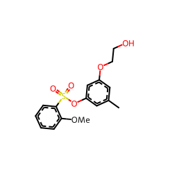 COc1ccccc1S(=O)(=O)Oc1cc(C)cc(OCCO)c1